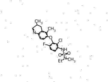 CCN(C)S(=O)(=O)Nc1ccc(F)c(Oc2ccc3c(c2C)CC(C)C=N3)c1Cl